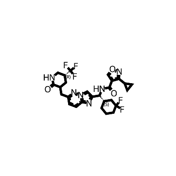 O=C(NC(c1cn2nc(CC3C[C@@H](C(F)(F)F)CNC3=O)ccc2n1)[C@H]1CCCC(F)(F)C1)c1conc1C1CC1